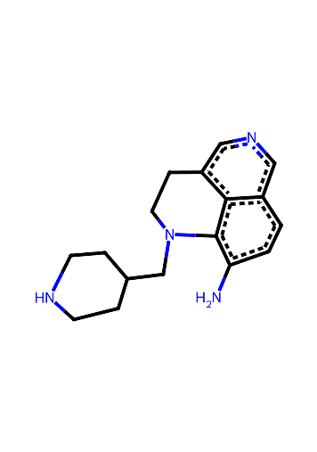 Nc1ccc2cncc3c2c1N(CC1CCNCC1)CC3